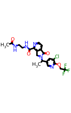 CC(=O)NCCNC(=O)c1nccc2c1CN(C(C)c1cnc(OCC(F)(F)F)c(Cl)c1)C2=O